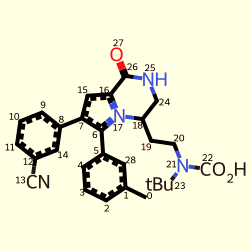 Cc1cccc(-c2c(-c3cccc(C#N)c3)cc3n2C(CCN(C(=O)O)C(C)(C)C)CNC3=O)c1